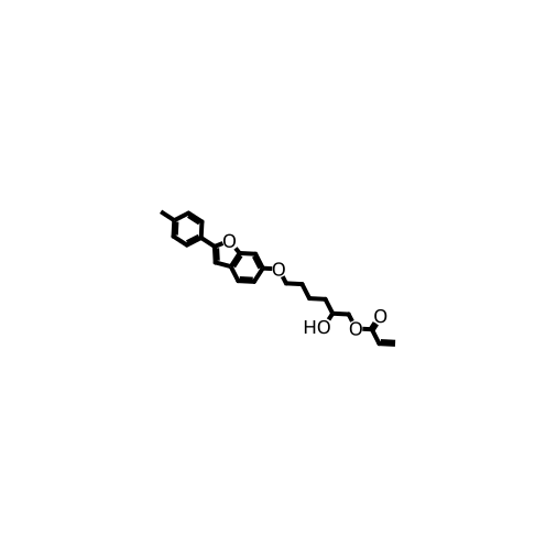 C=CC(=O)OCC(O)CCCCOc1ccc2cc(-c3ccc(C)cc3)oc2c1